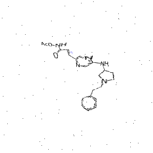 CC(=O)ONC(=O)/C=C/c1cnc(NC2CCN(CCc3ccccc3)C2)cn1